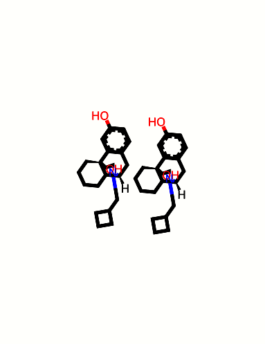 Oc1ccc2c(c1)[C@@]13CCCC[C@@]1(O)[C@@H](C2)N(CC1CCC1)CC3.Oc1ccc2c(c1)[C@@]13CCCC[C@@]1(O)[C@@H](C2)N(CC1CCC1)CC3